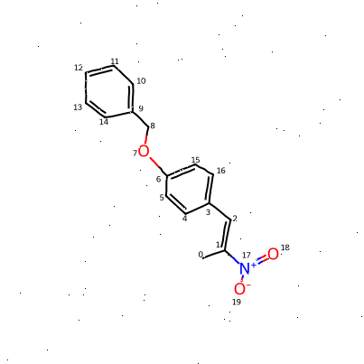 C/C(=C\c1ccc(OCc2ccccc2)cc1)[N+](=O)[O-]